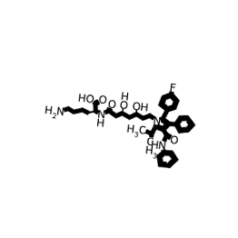 CC(C)c1c(C(=O)Nc2ccccc2)c(-c2ccccc2)c(-c2ccc(F)cc2)n1CC[C@@H](O)C[C@@H](O)CC(=O)N[C@@H](CCCCN)C(=O)O